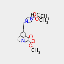 CCOC(=O)c1cn2c3c(cc(C#CCN4CCN(C(=O)OC(C)(C)C)CC4)cc3c1=O)CCC2